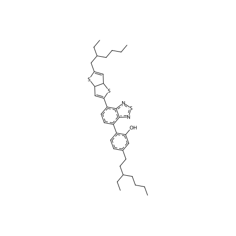 CCCCC(CC)CCc1ccc(-c2ccc(C3=CC4SC(CC(CC)CCCC)=CC4S3)c3nsnc23)c(O)c1